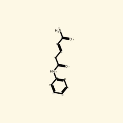 NC(=O)C=CCC(=O)Nc1ccccc1